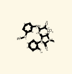 CC(C)Oc1cccc(NC(N=C2C(=O)N(C)C(=O)N2c2ccccc2F)C(Cl)C(Cl)(Cl)Cl)c1